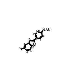 CNc1ccc(-c2cc3cc(C)ccc3o2)cn1